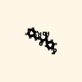 COc1ccc(C(CO)C(=O)NCc2ccncc2)cc1